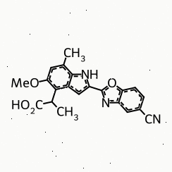 COc1cc(C)c2[nH]c(-c3nc4cc(C#N)ccc4o3)cc2c1C(C)C(=O)O